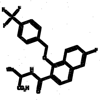 CC(C)(C)C(NC(=O)c1ccc2cc(F)ccc2c1OCc1ccc(S(F)(F)F)cc1)C(=O)O